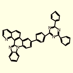 c1ccc(-c2nc(-c3ccccc3)nc(-c3ccc(-c4ccc5c(c4)c4ccc6cccnc6c4c4nc6ccccc6n54)cc3)n2)cc1